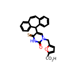 O=C(O)c1ccc(Cn2cc(C3c4ccccc4C=Cc4ccccc43)c(=S)[nH]c2=O)o1